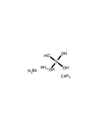 O[Si](O)(O)O.P.[BaH2].[CaH2]